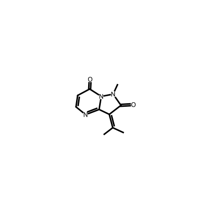 CC(C)=c1c(=O)n(C)n2c(=O)ccnc12